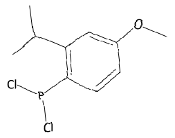 COc1ccc(P(Cl)Cl)c(C(C)C)c1